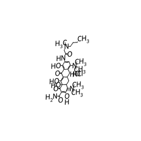 CCCCN(C)CC(=O)Nc1cc(N(C)C)c2c(c1O)C(=O)C1=C(O)C3(O)C(=O)C(C(N)=O)=C(O)[C@@H](N(C)C)C3CC1C2.Cl.Cl